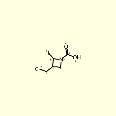 O=C(O)N1CC(CCl)C1I